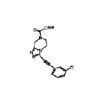 COC(=O)N1CCn2c(C#Cc3cccc(Cl)c3)nnc2C1